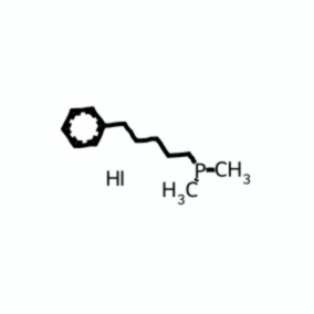 CP(C)CCCCCc1ccccc1.I